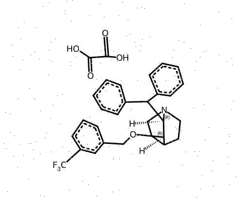 FC(F)(F)c1cccc(CO[C@@H]2C3CCN(CC3)[C@@H]2C(c2ccccc2)c2ccccc2)c1.O=C(O)C(=O)O